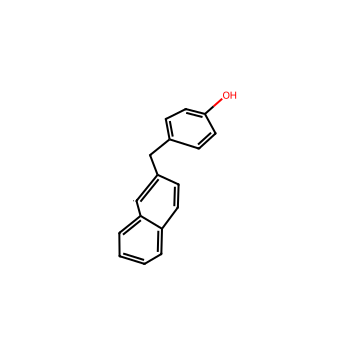 Oc1ccc(Cc2[c]c3ccccc3cc2)cc1